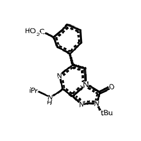 CC(C)Nc1nc(-c2cccc(C(=O)O)c2)cn2c(=O)n(C(C)(C)C)nc12